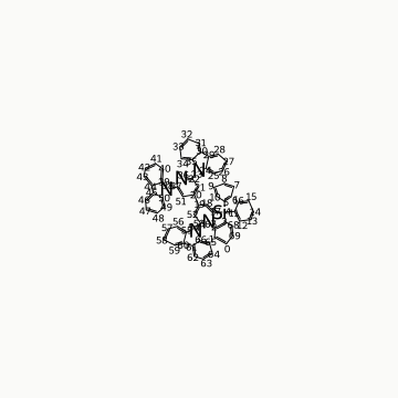 c1ccc([Si](c2ccccc2)(c2ccccc2)c2cc(-c3cc(-n4c5ccccc5c5ccccc54)nc(-n4c5ccccc5c5ccccc54)c3)cc(-n3c4ccccc4c4ccccc43)n2)cc1